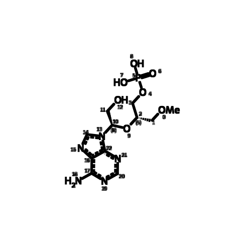 COC[C@@H](COP(=O)(O)O)O[C@H](CO)n1cnc2c(N)ncnc21